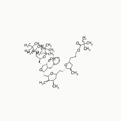 C=C1C(C[C@@H]2O[C@H](C[C@@H](CO[Si](C)(C)C(C)(C)C)O[Si](C)(C)C(C)(C)C)[C@H](OC)[C@H]2Cc2ccccc2)OC(CC[C@@H]2OC(CCCOC(=O)C(C)(C)C)CC2=C)C[C@H]1C